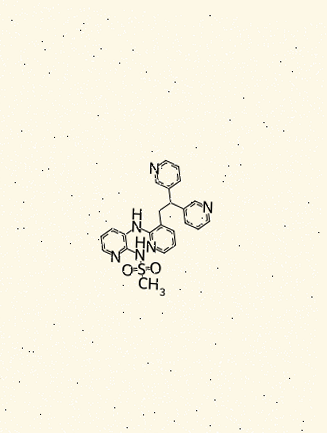 CS(=O)(=O)Nc1ncccc1Nc1ncccc1CC(c1cccnc1)c1cccnc1